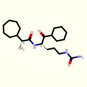 C[C@@H](C(=O)N[C@@H](CCCNC(N)=O)C(=O)C1CCCCC1)C1CCCCCC1